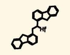 [Hf][CH](Cc1cccc2c1Cc1ccccc1-2)c1cccc2c1Cc1ccccc1-2